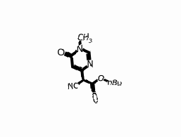 CCCCOC(=O)C(C#N)c1cc(=O)n(C)cn1